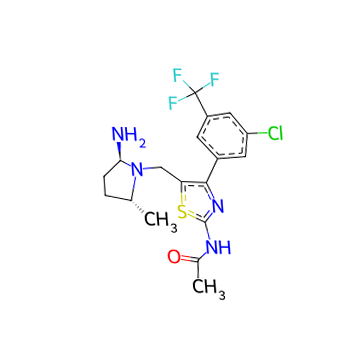 CC(=O)Nc1nc(-c2cc(Cl)cc(C(F)(F)F)c2)c(CN2[C@H](C)CC[C@H]2N)s1